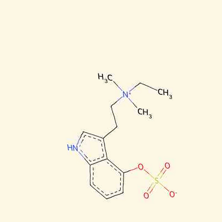 CC[N+](C)(C)CCc1c[nH]c2cccc(OS(=O)(=O)[O-])c12